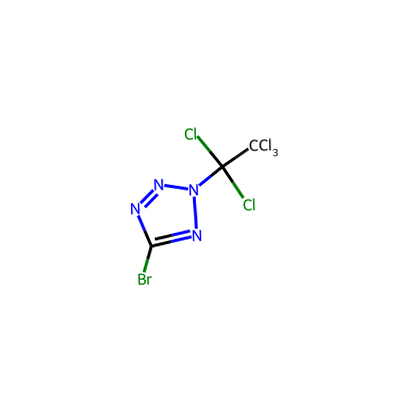 ClC(Cl)(Cl)C(Cl)(Cl)n1nnc(Br)n1